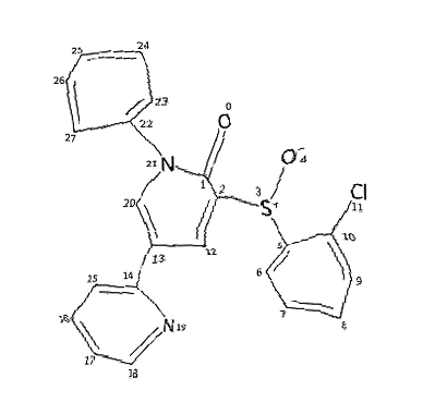 O=c1c([S+]([O-])c2ccccc2Cl)cc(-c2ccccn2)cn1-c1ccccc1